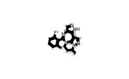 Cc1cccc(F)c1C1=Nc2cn[nH]c2-c2cnn3c2N1CCC3C